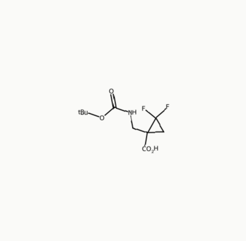 CC(C)(C)OC(=O)NCC1(C(=O)O)CC1(F)F